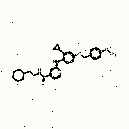 O=C(NCCC1CCCCC1)c1ccnc(Nc2ccc(OCc3ccc(OC(F)(F)F)cc3)cc2C2CC2)c1